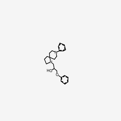 OC(COc1ccccc1)CN1CCCC12CCN(c1ccccc1)CC2